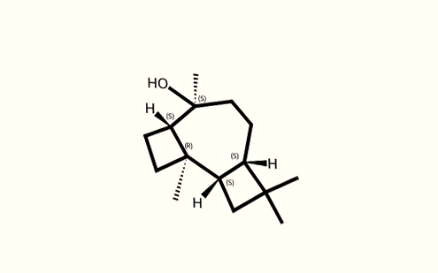 CC1(C)C[C@H]2[C@@H]1CC[C@](C)(O)[C@H]1CC[C@]21C